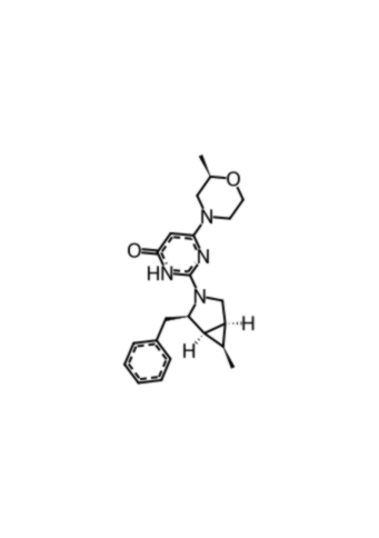 C[C@@H]1[C@@H]2CN(c3nc(N4CCO[C@H](C)C4)cc(=O)[nH]3)[C@H](Cc3ccccc3)[C@H]12